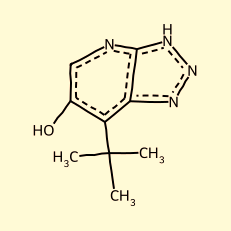 CC(C)(C)c1c(O)cnc2[nH]nnc12